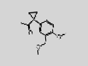 COCc1cc(C2(C(C)=O)CC2)ccc1OC